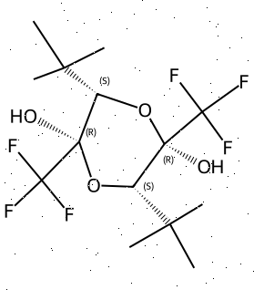 CC(C)(C)[C@@H]1O[C@@](O)(C(F)(F)F)[C@H](C(C)(C)C)O[C@@]1(O)C(F)(F)F